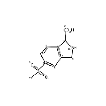 CS(=O)(=O)c1ccc2c(c1)CNC2C(=O)O